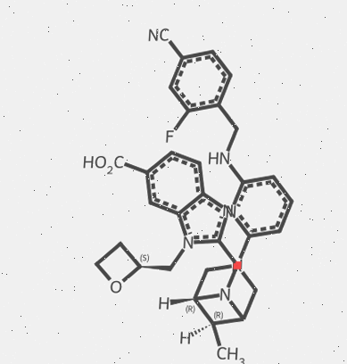 C[C@@H]1C2CN(c3cccc(NCc4ccc(C#N)cc4F)n3)C[C@@H]1N2Cc1nc2ccc(C(=O)O)cc2n1C[C@@H]1CCO1